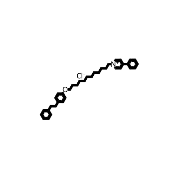 [Cl-].c1ccc(CCc2ccc(OCCCCCCCCCCCC[n+]3ccc(-c4ccccc4)cc3)cc2)cc1